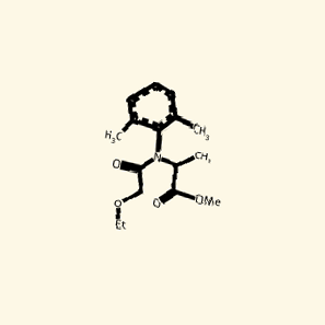 CCOCC(=O)N(c1c(C)cccc1C)C(C)C(=O)OC